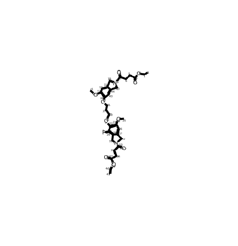 CCOC(=O)CCC(=O)N1Cc2cc(OC)c(OCCCOc3c(OC)cc4c(c3F)CN(C(=O)CCC(=O)OCC)C4)cc2C1